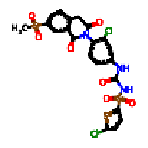 CS(=O)(=O)c1ccc2c(c1)C(=O)N(c1ccc(NC(=O)NS(=O)(=O)c3ccc(Cl)s3)cc1Cl)C(=O)C2